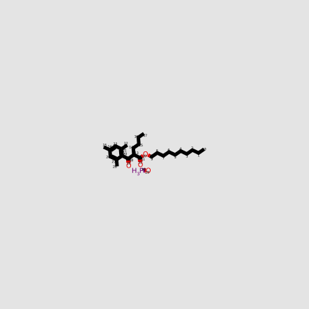 CCCCCCCCCCOC(=O)C(CCCC)C(=O)c1c(C)cc(C)cc1C.O=[PH3]